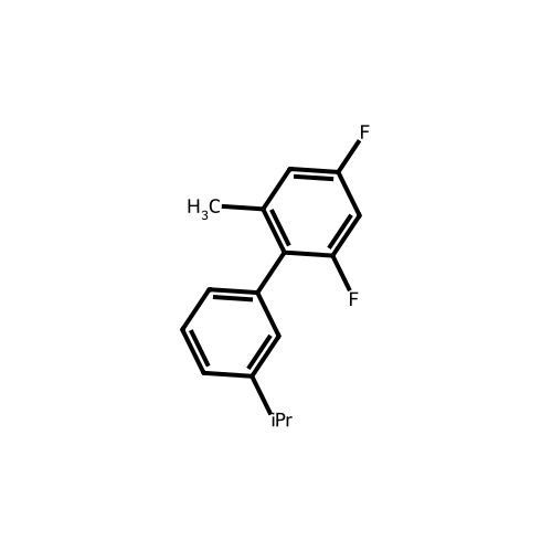 Cc1cc(F)cc(F)c1-c1cccc(C(C)C)c1